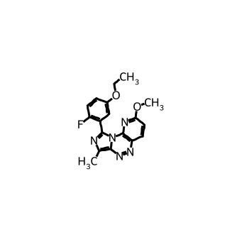 CCOc1ccc(F)c(-c2nc(C)c3nnc4ccc(OC)nc4n23)c1